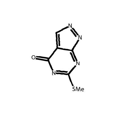 CSC1=NC(=O)C2=CN=NC2=N1